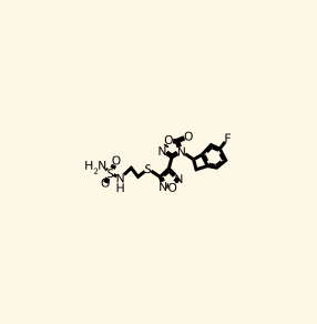 NS(=O)(=O)NCCSc1nonc1-c1noc(=O)n1C1Cc2ccc(F)cc21